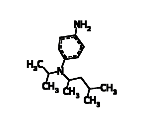 CC(C)CC(C)N(c1ccc(N)cc1)C(C)C